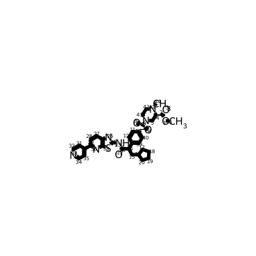 COC(=O)[C@H]1CN(S(=O)(=O)c2ccc(C(CC3CCCC3)C(=O)Nc3nc4ccc(-c5ccncc5)nc4s3)cc2)CCN1C